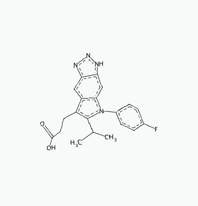 CC(C)c1c(CCC(=O)O)c2cc3nn[nH]c3cc2n1-c1ccc(F)cc1